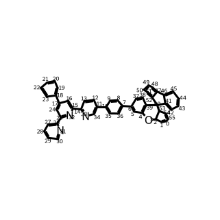 C1=CC2Oc3cc(-c4ccc(-c5ccc(-c6cc(-c7ccccc7)cc(-c7ccccn7)n6)nc5)cc4)ccc3C3(c4ccccc4-c4ccccc43)C2C=C1